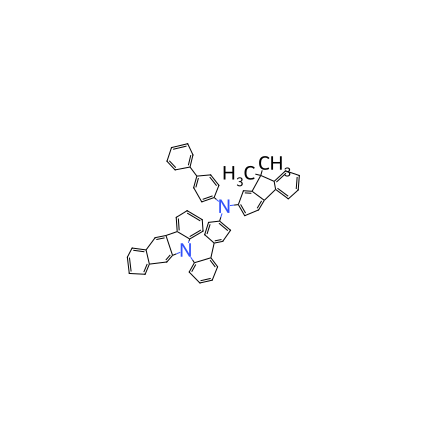 CC1(C)c2ccccc2-c2ccc(N(c3ccc(-c4ccccc4)cc3)c3ccc(-c4ccccc4-n4c5ccccc5c5cc6ccccc6cc54)cc3)cc21